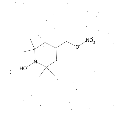 CC1(C)CC(CO[N+](=O)[O-])CC(C)(C)N1O